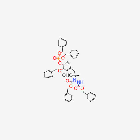 C[C@@](C=O)(Cc1ccc(OP(=O)(OCc2ccccc2)OCc2ccccc2)c(OCc2ccccc2)c1)N(NC(=O)OCc1ccccc1)C(=O)OCc1ccccc1